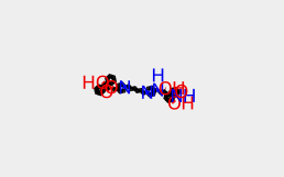 O=C(OCC1CCN(CCCCCCN2CCC(NC[C@H](O)c3ccc(O)c4[nH]c(=O)ccc34)CC2)CC1)C(O)(c1ccccc1)C1CCCCC1